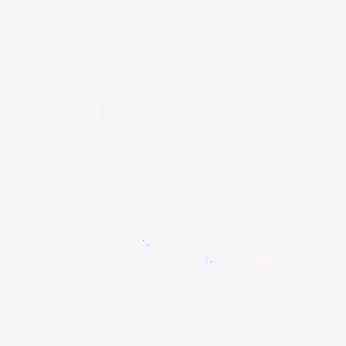 CC(=O)N1CCN(Cc2ccc(Oc3ccccc3)cc2)CC1